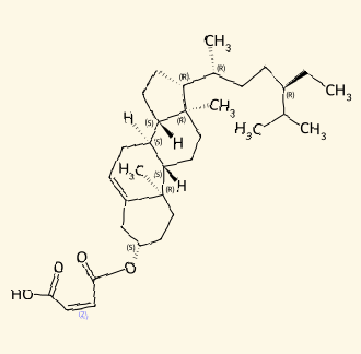 CC[C@H](CC[C@@H](C)[C@H]1CC[C@H]2[C@@H]3CC=C4C[C@@H](OC(=O)/C=C\C(=O)O)CC[C@]4(C)[C@H]3CC[C@]12C)C(C)C